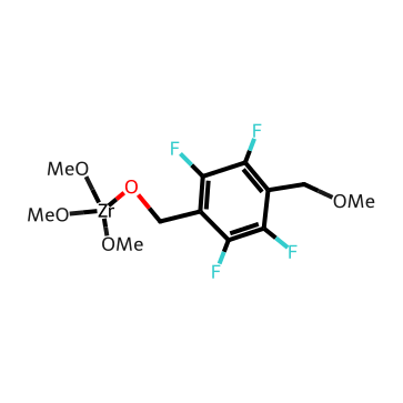 COCc1c(F)c(F)c(C[O][Zr]([O]C)([O]C)[O]C)c(F)c1F